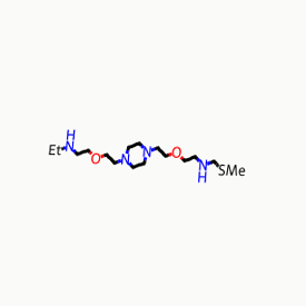 CCNCCOCCN1CCN(CCOCCNCSC)CC1